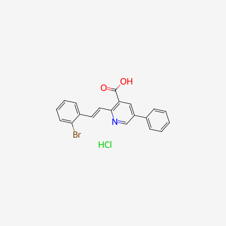 Cl.O=C(O)c1cc(-c2ccccc2)cnc1C=Cc1ccccc1Br